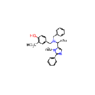 CCCCC(c1cnc(-c2ccccc2)n1CCCC)N(Cc1ccccc1)Cc1ccc(O)c(C(=O)O)c1